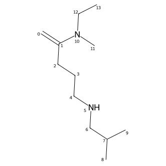 C=C(CCCNCC(C)C)N(C)CC